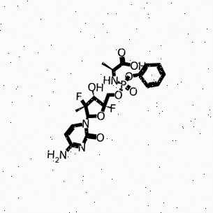 C[C@H](N[P@@](=O)(OC[C@@]1(F)O[C@@H](n2ccc(N)nc2=O)[C@](C)(F)[C@@H]1O)Oc1ccccc1)C(=O)O